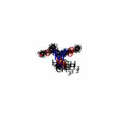 CC(C)(C)OC(=O)N1[C@@H](COc2nc3c(c(N4CCN(CC(=O)OCc5ccccc5)CC4)n2)CCN(c2cc(OCc4ccccc4)cc4ccccc24)C3)CCC1(C)C